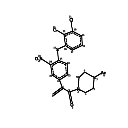 C=C(C(=O)N1CCN(C(C)=O)CC1)c1ccc(Sc2cccc(Cl)c2Cl)c([N+](=O)[O-])c1